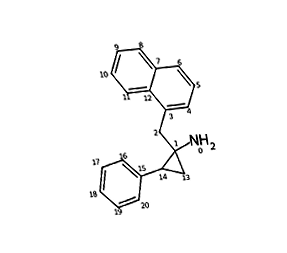 NC1(Cc2cccc3ccccc23)CC1c1ccccc1